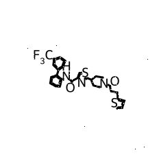 O=C(Nc1ccccc1-c1cccc(C(F)(F)F)c1)c1csc(C2CCN(C(=O)CCc3cccs3)CC2)n1